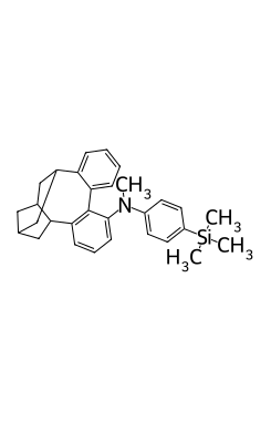 CN(c1ccc([Si](C)(C)C)cc1)c1cccc2c1-c1ccccc1C1CC3CC(C1)C2C3